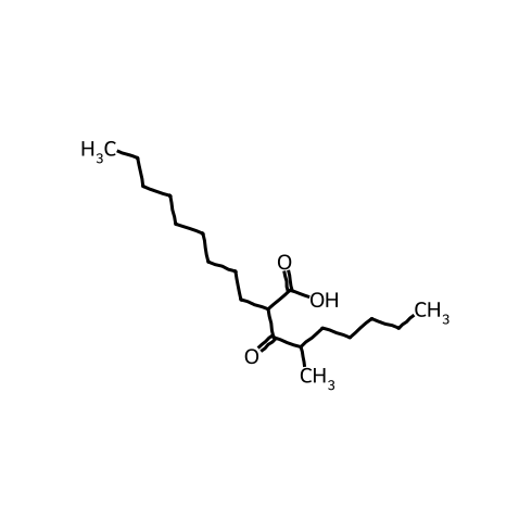 CCCCCCCCCC(C(=O)O)C(=O)C(C)CCCCC